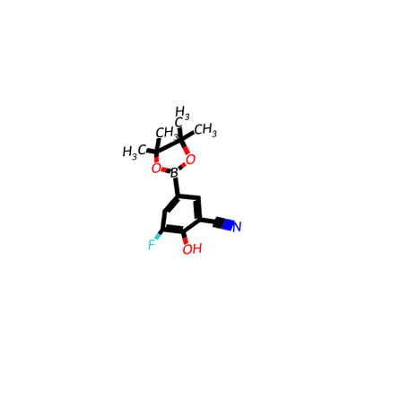 CC1(C)OB(c2cc(F)c(O)c(C#N)c2)OC1(C)C